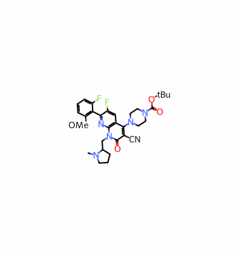 COc1cccc(F)c1-c1nc2c(cc1F)c(N1CCN(C(=O)OC(C)(C)C)CC1)c(C#N)c(=O)n2CC1CCCN1C